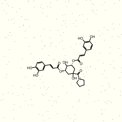 O=C(/C=C/c1ccc(O)c(O)c1)O[C@@H]1CC(O)(C(=O)N2CCCC2)C[C@@H](OC(=O)/C=C/c2ccc(O)c(O)c2)C1O